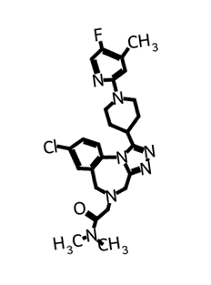 Cc1cc(N2CCC(c3nnc4n3-c3ccc(Cl)cc3CN(CC(=O)N(C)C)C4)CC2)ncc1F